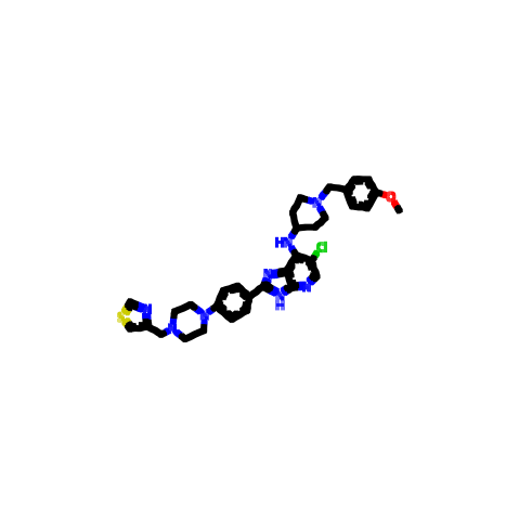 COc1ccc(CN2CCC(Nc3c(Cl)cnc4[nH]c(-c5ccc(N6CCN(Cc7cscn7)CC6)cc5)nc34)CC2)cc1